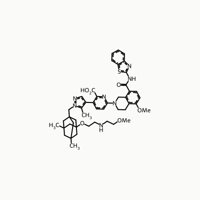 COCCNCCOC12CC3(C)CC(C)(CC(Cn4ncc(-c5ccc(N6CCc7c(OC)ccc(C(=O)Nc8nc9ccccc9s8)c7C6)nc5C(=O)O)c4C)(C3)C1)C2